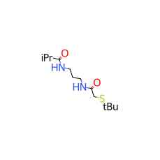 CC(C)C(=O)NCCCNC(=O)CSC(C)(C)C